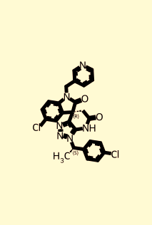 C[C@@H](c1ccc(Cl)cc1)n1nnc2c1NC(=O)C[C@]21C(=O)N(Cc2cccnc2)c2ccc(Cl)cc21